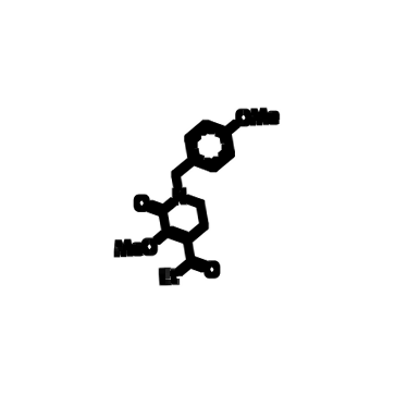 CCC(=O)C1=C(OC)C(=O)N(Cc2ccc(OC)cc2)CC1